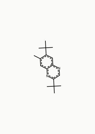 Cc1cc2nc(C(C)(C)C)cnc2cc1C(C)(C)C